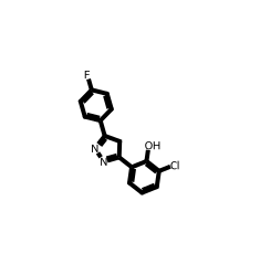 Oc1c(Cl)cccc1C1=NN=C(c2ccc(F)cc2)C1